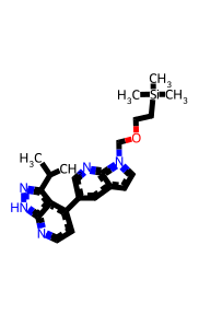 CC(C)c1n[nH]c2nccc(-c3cnc4c(ccn4COCC[Si](C)(C)C)c3)c12